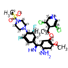 COc1cc(N)c(C(=N)c2cc(F)c(N3CCN(S(C)(=O)=O)CC3)c(F)c2)cc1O[C@H](C)c1c(Cl)cncc1Cl